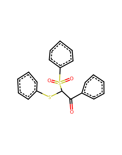 O=C(c1ccccc1)C(Sc1ccccc1)S(=O)(=O)c1ccccc1